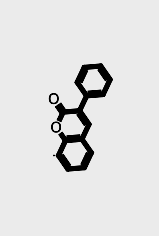 O=c1oc2[c]cccc2cc1-c1ccccc1